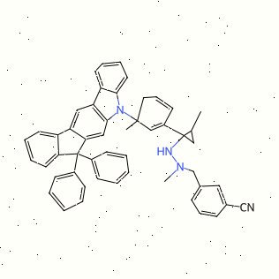 CC1CC1(NN(C)Cc1cccc(C#N)c1)C1=CC(C)(n2c3ccccc3c3cc4c(cc32)C(c2ccccc2)(c2ccccc2)c2ccccc2-4)CC=C1